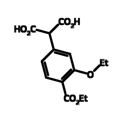 CCOC(=O)c1ccc(C(C(=O)O)C(=O)O)cc1OCC